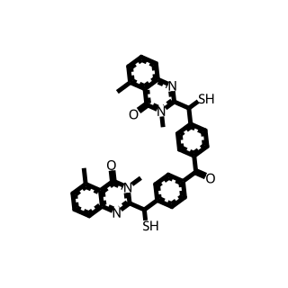 Cc1cccc2nc(C(S)c3ccc(C(=O)c4ccc(C(S)c5nc6cccc(C)c6c(=O)n5C)cc4)cc3)n(C)c(=O)c12